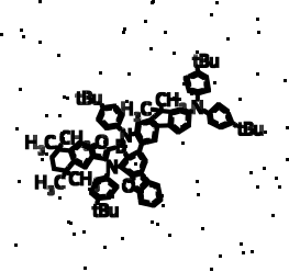 CC(C)(C)c1ccc(N2B3c4oc5cc6c(cc5c4N(c4ccc(C(C)(C)C)cc4)c4c3c(cc3c4oc4ccccc43)-c3cc4c(cc32)C(C)(C)c2cc(N(c3ccc(C(C)(C)C)cc3)c3ccc(C(C)(C)C)cc3)ccc2-4)C(C)(C)CCC6(C)C)cc1